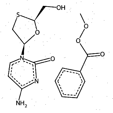 COOC(=O)c1ccccc1.Nc1ccn([C@H]2CS[C@@H](CO)O2)c(=O)n1